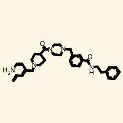 C=C/C=C(\C=C/N)CN1CCC(C(=O)N2CCN(Cc3cccc(C(=O)NCCc4ccccc4)c3)CC2)CC1